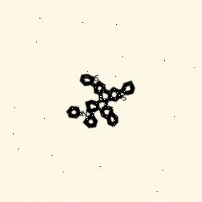 c1ccc(-n2c3ccccc3c3cc(-c4c(-c5ccc6ccccc6c5)c5cc6sc7ccccc7c6cc5c5cc6sc7ccccc7c6cc45)ccc32)cc1